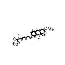 COC(=O)CC1Cc2ccc(OCCCCNC(=O)OC(C)(C)C)cc2NC1=O